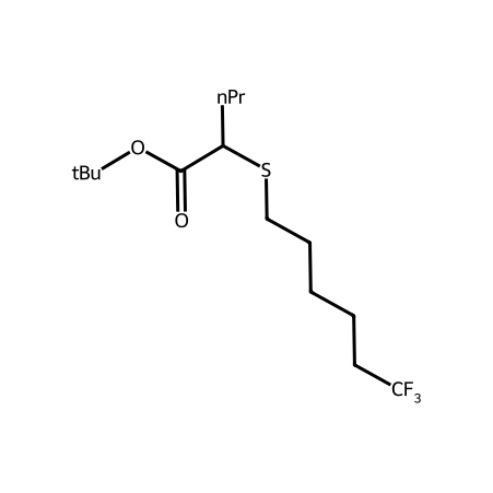 CCCC(SCCCCCC(F)(F)F)C(=O)OC(C)(C)C